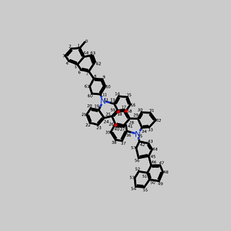 Cc1cccc2cc(C3=C=C=C(N(c4ccccc4)c4ccccc4-c4ccc(-c5ccccc5N(c5ccccc5)C5C=CC(c6cccc7c6CCC=C7)=CC5)cc4)CC3)c#cc12